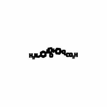 NCc1ccc(N2CCN(c3ccc(OCC(=O)O)cc3)C2=O)cc1